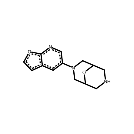 c1cc2cc(N3CC4CNCC(C3)O4)cnc2o1